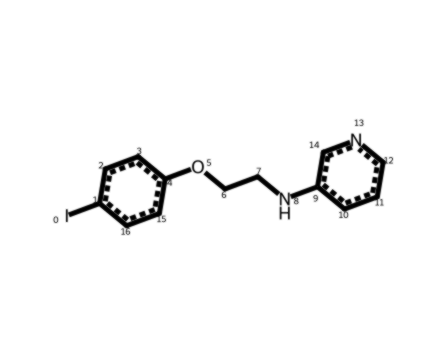 Ic1ccc(OCCNc2cccnc2)cc1